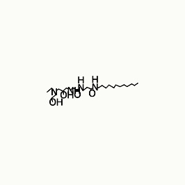 CCCCCCCCCCCCNC(=O)CCNC(=O)CNCC(O)CN(CC)CCO